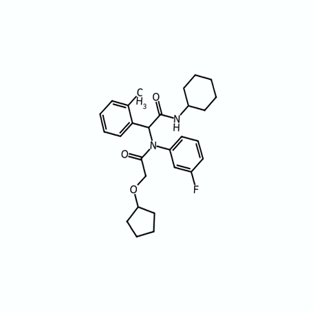 Cc1ccccc1C(C(=O)NC1CCCCC1)N(C(=O)COC1CCCC1)c1cccc(F)c1